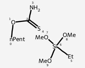 CCCCCOC(N)=S.CC[Si](OC)(OC)OC